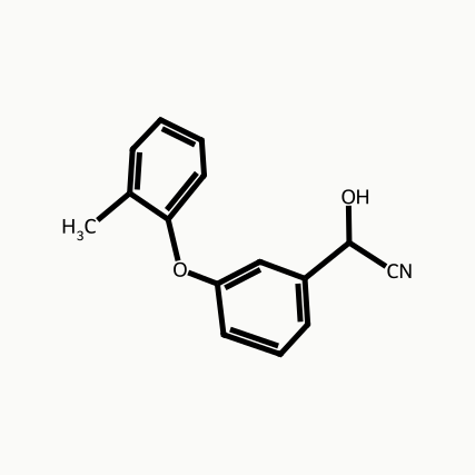 Cc1ccccc1Oc1cccc(C(O)C#N)c1